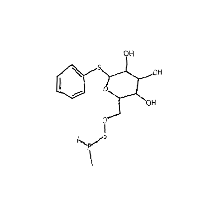 OC1C(COSP(I)I)OC(Sc2ccccc2)C(O)C1O